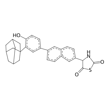 O=C1NC(c2ccc3cc(-c4ccc(O)c(C56CC7CC(CC(C7)C5)C6)c4)ccc3c2)C(=O)S1